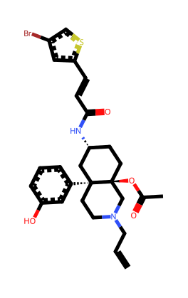 C=CCN1CC[C@@]2(c3cccc(O)c3)C[C@H](NC(=O)/C=C/c3cc(Br)cs3)CC[C@]2(OC(C)=O)C1